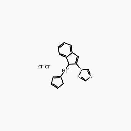 C1=CC[C]([Hf+2][CH]2C(n3cncn3)=Cc3ccccc32)=C1.[Cl-].[Cl-]